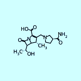 C[C@@H](O)C1C(=O)N2C(C(=O)O)=C(CN3CC[C@H](C(N)=O)C3)[C@H](C)C12